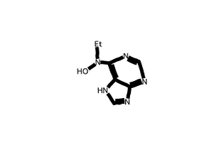 CCN(O)c1ncnc2nc[nH]c12